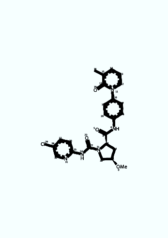 CO[C@@H]1C[C@H](C(=O)Nc2ccc(-n3cccc(C)c3=O)cc2)N(C(=O)Nc2ccc(Cl)cn2)C1